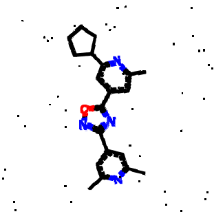 Cc1cc(-c2noc(-c3cc(C)nc(C4CCCC4)c3)n2)cc(C)n1